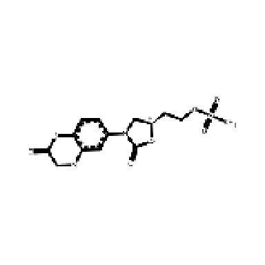 CS(=O)(=O)OCC[C@@H]1CN(c2ccc3c(c2)NCC(=O)S3)C(=O)O1